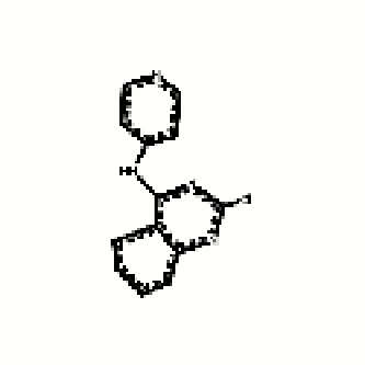 Clc1nc(Nc2ccncc2)c2ccccc2n1